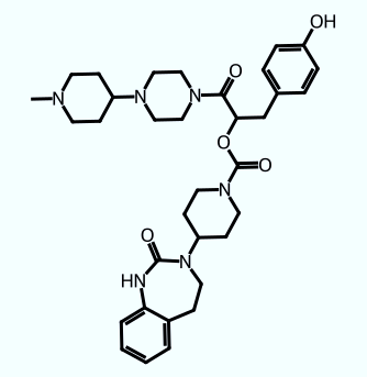 CN1CCC(N2CCN(C(=O)C(Cc3ccc(O)cc3)OC(=O)N3CCC(N4CCc5ccccc5NC4=O)CC3)CC2)CC1